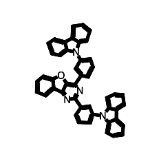 c1cc(-c2nc(-c3cccc(-n4c5ccccc5c5ccccc54)c3)c3oc4ccccc4c3n2)cc(-n2c3ccccc3c3ccccc32)c1